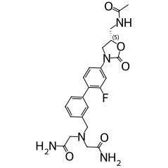 CC(=O)NC[C@H]1CN(c2ccc(-c3cccc(CN(CC(N)=O)CC(N)=O)c3)c(F)c2)C(=O)O1